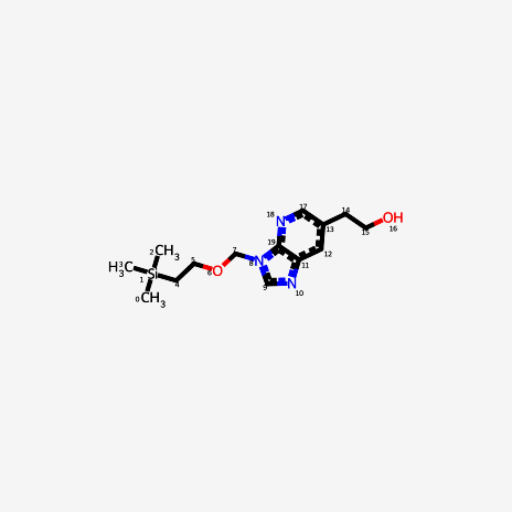 C[Si](C)(C)CCOCn1cnc2cc(CCO)cnc21